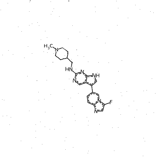 CN1CCC(CNc2ncc3c(-c4ccc5ncc(F)n5c4)c[nH]c3n2)CC1